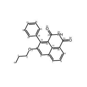 CCCOc1cc2cccc3c2c(c1-c1ccccc1)C(=O)NC3=O